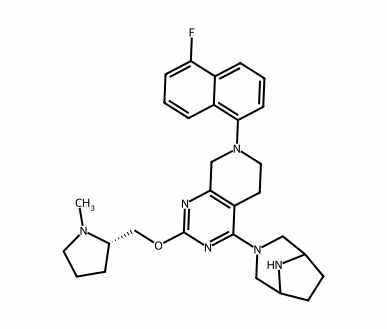 CN1CCC[C@H]1COc1nc2c(c(N3CC4CCC(C3)N4)n1)CCN(c1cccc3c(F)cccc13)C2